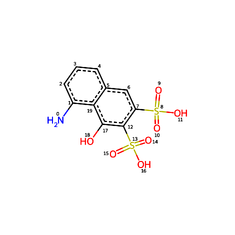 Nc1cccc2cc(S(=O)(=O)O)c(S(=O)(=O)O)c(O)c12